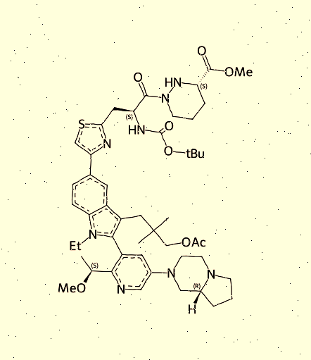 CCn1c(-c2cc(N3CCN4CCC[C@@H]4C3)cnc2[C@H](C)OC)c(CC(C)(C)COC(C)=O)c2cc(-c3csc(C[C@H](NC(=O)OC(C)(C)C)C(=O)N4CCC[C@@H](C(=O)OC)N4)n3)ccc21